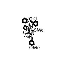 COc1ccc(CN2CN(C)C(=O)c3c2nc(SC)nc3N2CCC[C@H]2c2nc3cccc(Cl)c3c(=O)n2-c2ccccc2)cc1